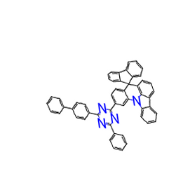 c1ccc(-c2ccc(-c3nc(-c4ccccc4)nc(-c4ccc5c(c4)-n4c6ccccc6c6cccc(c64)C54c5ccccc5-c5ccccc54)n3)cc2)cc1